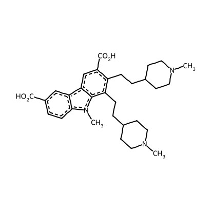 CN1CCC(CCc2c(C(=O)O)cc3c4cc(C(=O)O)ccc4n(C)c3c2CCC2CCN(C)CC2)CC1